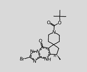 C[C@@H]1CC2(CCN(C(=O)OC(C)(C)C)CC2)c2c1[nH]c1nc(Br)nn1c2=O